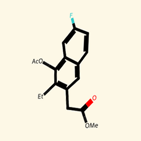 CCc1c(CC(=O)OC)cc2ccc(F)cc2c1OC(C)=O